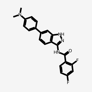 CN(C)c1ccc(-c2ccc3c(NC(=O)c4ccc(F)cc4F)n[nH]c3c2)cc1